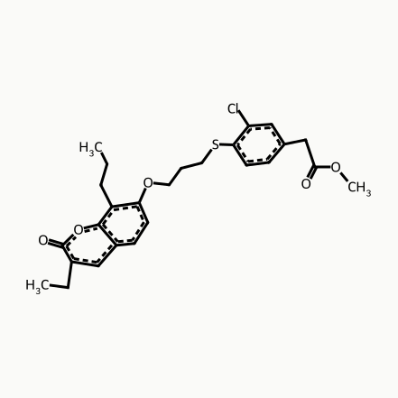 CCCc1c(OCCCSc2ccc(CC(=O)OC)cc2Cl)ccc2cc(CC)c(=O)oc12